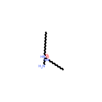 CCCCCCCCCCCCCCCC(=O)N[C@H](CCCCN)C(=O)NCCCCCCCCCCCC